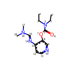 CCN(CC)C(=O)Oc1cnccc1N=CN(C)C